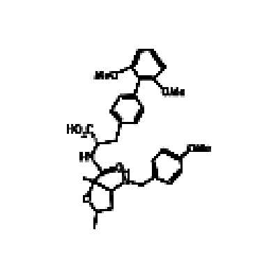 COc1ccc(CNC2CC(C)OC2(C)C(=O)N[C@@H](Cc2ccc(-c3c(OC)cccc3OC)cc2)C(=O)O)cc1